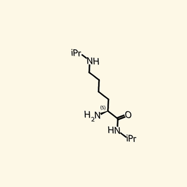 CC(C)NCCCC[C@H](N)C(=O)NC(C)C